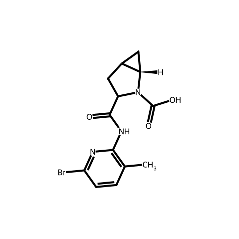 Cc1ccc(Br)nc1NC(=O)C1CC2C[C@@H]2N1C(=O)O